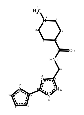 CN1CCC(C(=O)NCc2nnc(-c3cccs3)o2)CC1